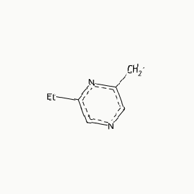 [CH2]c1cncc(CC)n1